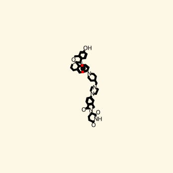 O=C1CC[C@H](N2Cc3cc(N4CCN(CC5CCN(c6ccc([C@@H]7c8ccc(O)cc8CO[C@@]78CCCc7ccccc78)cc6)CC5)CC4)ccc3C2=O)C(=O)N1